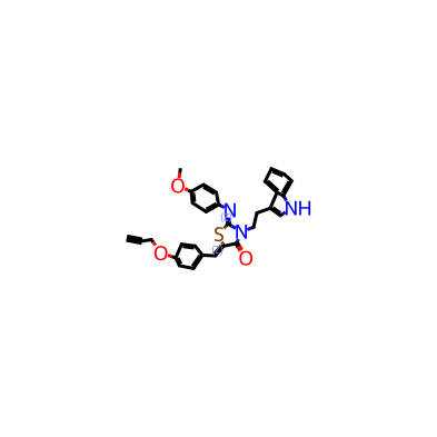 C#CCOc1ccc(/C=C2\S/C(=N\c3ccc(OC)cc3)N(CCc3c[nH]c4ccccc34)C2=O)cc1